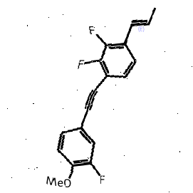 C/C=C/c1ccc(C#Cc2ccc(OC)c(F)c2)c(F)c1F